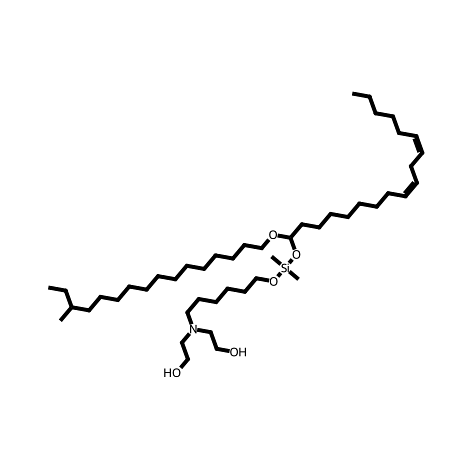 CCCCC/C=C\C/C=C\CCCCCCCC(OCCCCCCCCCCCCCC(C)CC)O[Si](C)(C)OCCCCCCN(CCO)CCO